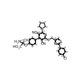 C[C@@](N)(Oc1ccc(-c2c(C#N)c(SCc3csc(-c4ccc(Cl)cc4)n3)nc(N3CCCC3)c2C#N)cc1)C(=O)O